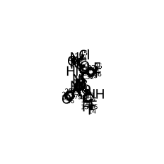 O=C(N[C@H](c1cn2nc(C[C@H]3C[C@@H](C(F)(F)F)CNC3=O)c(C3CCOCC3)nc2n1)C1CCC(F)(F)CC1)c1nonc1CCl